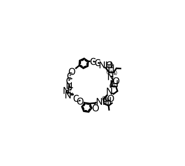 CC[C@H](C)[C@H]1C(=O)NCCc2ccc(cc2)OCCn2cc(nn2)COc2ccccc2C(=O)N[C@H](CC(C)C)C(=O)N2CCC[C@@H]2C(=O)N1C